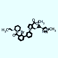 CCC[C@@H]1CCCCN1C(=O)c1cccc(-c2cccc(-n3ccc(C(=O)OC)c3C[C@@H]3C[C@H]3c3cn(C)nn3)c2)c1Br